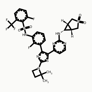 CC1(C)CCN1c1nc(-c2cccc(NS(=O)(=O)c3c(F)cccc3C(F)(F)F)c2F)c(-c2ccnc(N[C@@H]3[C@@H]4CS(=O)(=O)C[C@@H]43)n2)s1